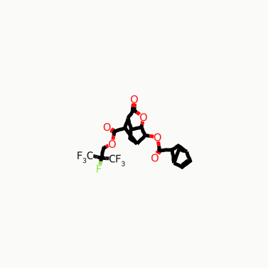 O=C(OC1C2CC3C1OC(=O)C3C2C(=O)OCC(F)(C(F)(F)F)C(F)(F)F)C1CC2C=CC1C2